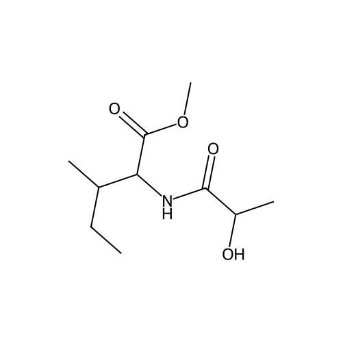 CCC(C)C(NC(=O)C(C)O)C(=O)OC